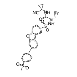 CC(C)C[C@H](NS(=O)(=O)c1ccc2oc3cc(-c4ccc(S(C)(=O)=O)cc4)ccc3c2c1)C(=O)NC1(C#N)CC1